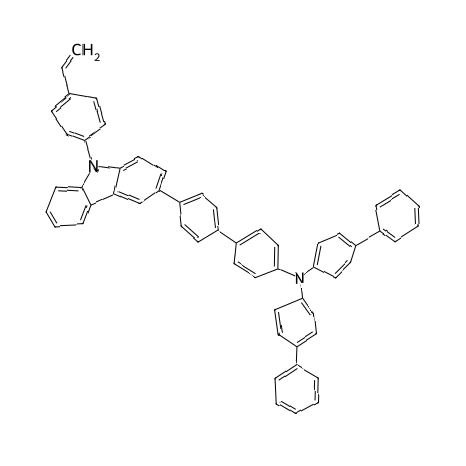 C=Cc1ccc(-n2c3ccccc3c3cc(-c4ccc(-c5ccc(N(c6ccc(-c7ccccc7)cc6)c6ccc(-c7ccccc7)cc6)cc5)cc4)ccc32)cc1